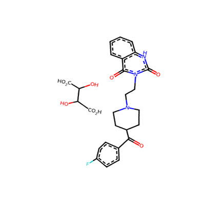 O=C(O)C(O)C(O)C(=O)O.O=C(c1ccc(F)cc1)C1CCN(CCn2c(=O)[nH]c3ccccc3c2=O)CC1